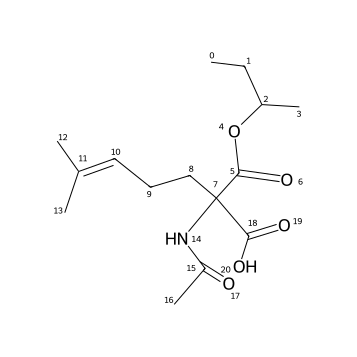 CCC(C)OC(=O)C(CCC=C(C)C)(NC(C)=O)C(=O)O